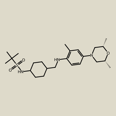 Cc1cc(N2C[C@@H](C)O[C@@H](C)C2)ccc1NCC1CCC(NS(=O)(=O)C(C)(C)C)CC1